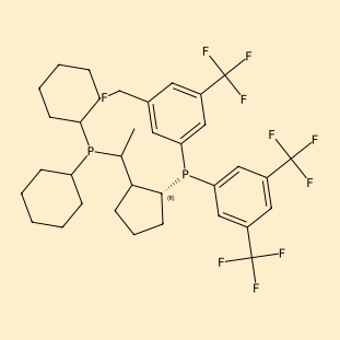 CC(C1CCC[C@H]1P(c1cc(CF)cc(C(F)(F)F)c1)c1cc(C(F)(F)F)cc(C(F)(F)F)c1)P(C1CCCCC1)C1CCCCC1